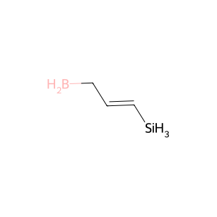 BCC=C[SiH3]